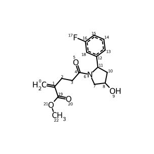 C=C(CCC(=O)N1CC(O)CC1c1cccc(F)c1)C(=O)OC